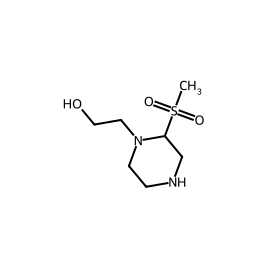 CS(=O)(=O)C1CNCCN1CCO